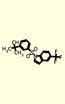 CC(C)(C)c1cccc(S(=O)(=O)n2ccc3cc(C(F)(F)F)ccc32)c1